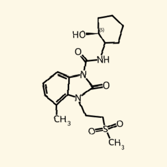 Cc1cccc2c1n(CCS(C)(=O)=O)c(=O)n2C(=O)NC1CCCC[C@@H]1O